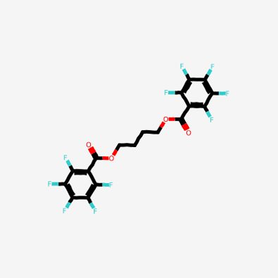 O=C(OCCCCOC(=O)c1c(F)c(F)c(F)c(F)c1F)c1c(F)c(F)c(F)c(F)c1F